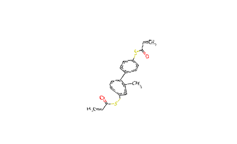 C=CC(=O)Sc1ccc(-c2ccc(SC(=O)C=C)cc2C)cc1